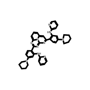 C1=CC2=CC(c3ccc(N4CCCCC4)cc3Nc3ccccn3)=NC3=NC(c4ccc(N5CCCCC5)cc4Nc4ccccn4)=NC(=C1)N23